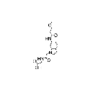 COCCC(=O)Nc1ccc2ccn(CC(=O)NCC(=O)O)c2c1